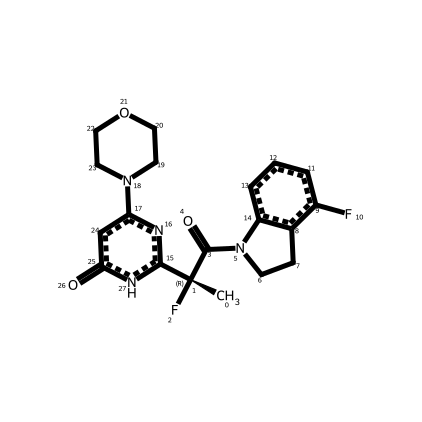 C[C@](F)(C(=O)N1CCc2c(F)cccc21)c1nc(N2CCOCC2)cc(=O)[nH]1